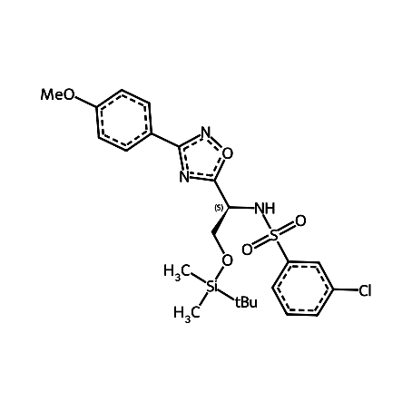 COc1ccc(-c2noc([C@H](CO[Si](C)(C)C(C)(C)C)NS(=O)(=O)c3cccc(Cl)c3)n2)cc1